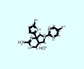 Cl.NC1=NC2(c3ccc(F)s3)CN(c3ncc(F)cn3)CC2CS1